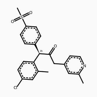 Cc1cc(CC(=O)[C@H](c2ccc(S(C)(=O)=O)cc2)c2ccc(Cl)cc2C)ccn1